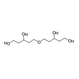 OCCC(O)CCOCCC(O)CCO